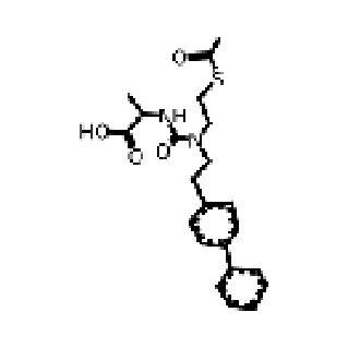 CC(=O)SCCN(CCc1ccc(-c2ccccc2)cc1)C(=O)NC(C)C(=O)O